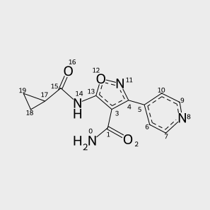 NC(=O)c1c(-c2ccncc2)noc1NC(=O)C1CC1